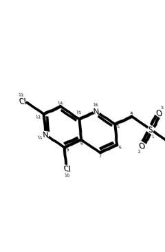 CS(=O)(=O)Cc1ccc2c(Cl)nc(Cl)cc2n1